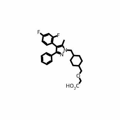 Cc1c(-c2ccc(F)cc2F)c(-c2ccccc2)nn1CC1CCC(COCC(=O)O)CC1